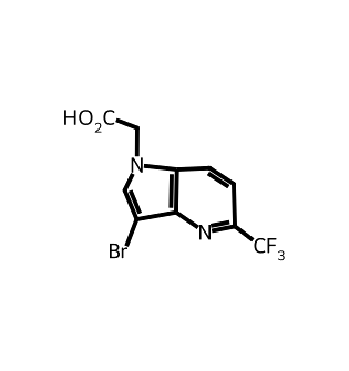 O=C(O)Cn1cc(Br)c2nc(C(F)(F)F)ccc21